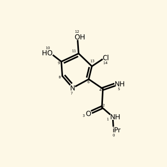 CC(C)NC(=O)C(=N)c1ncc(O)c(O)c1Cl